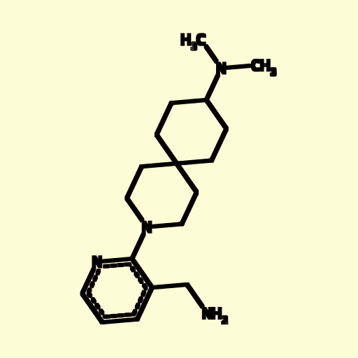 CN(C)C1CCC2(CC1)CCN(c1ncccc1CN)CC2